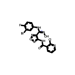 O=C(Nc1nonc1/C(=N\O)Nc1ccc(F)c(Br)c1)c1cccnc1Cl